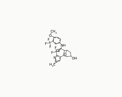 COc1ccc(NC(=O)C2C3CC(O)C(O3)C2c2cn(C)nc2C(F)(F)F)cc1C(F)(F)F